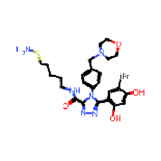 CC(C)c1cc(-c2nnc(C(=O)NCCCCCSN)n2-c2ccc(CN3CCOCC3)cc2)c(O)cc1O